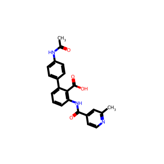 CC(=O)Nc1ccc(-c2cccc(NC(=O)c3ccnc(C)c3)c2C(=O)O)cc1